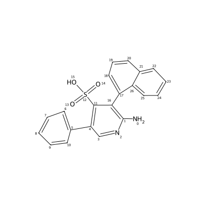 Nc1ncc(-c2ccccc2)c(S(=O)(=O)O)c1-c1cccc2ccccc12